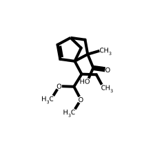 CCC(C(OC)OC)C12C=CC(CC1(C)C(=O)O)C2